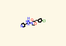 O=C1[C@@H](Cc2ccc(Cl)cc2)OCCN1c1nc(-c2ccncc2)n[nH]1